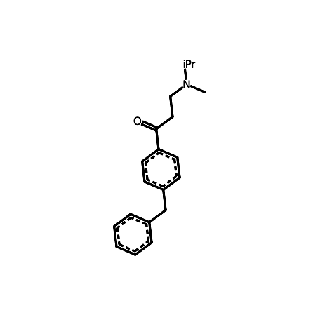 CC(C)N(C)CCC(=O)c1ccc(Cc2ccccc2)cc1